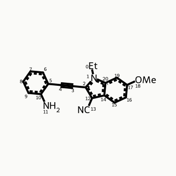 CCn1c(C#Cc2ccccc2N)c(C#N)c2ccc(OC)cc21